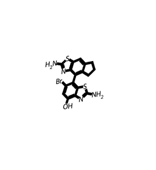 Nc1nc2c(-c3c(Br)cc(O)c4nc(N)sc34)c3c(cc2s1)CCC3